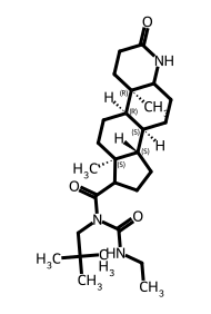 CCNC(=O)N(CC(C)(C)C)C(=O)C1CC[C@H]2[C@@H]3CCC4NC(=O)CC[C@]4(C)[C@@H]3CC[C@]12C